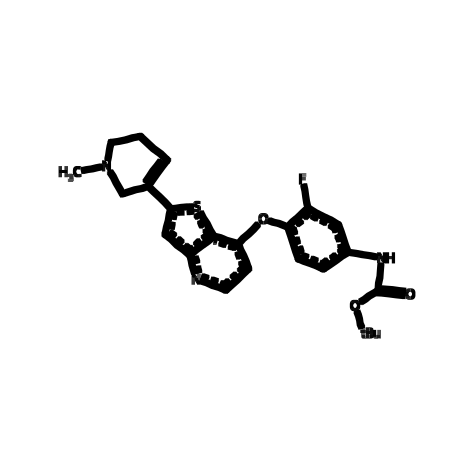 CN1CCC=C(c2cc3nccc(Oc4ccc(NC(=O)OC(C)(C)C)cc4F)c3s2)C1